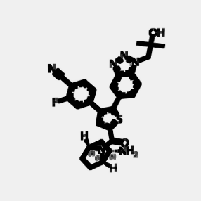 CC(C)(O)Cn1nnc2cc(-c3sc(C(=O)N4[C@@H]5CC[C@H]4[C@@H](N)C5)cc3-c3ccc(C#N)c(F)c3)ccc21